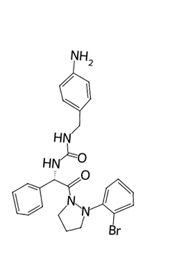 Nc1ccc(CNC(=O)N[C@H](C(=O)N2CCCN2c2ccccc2Br)c2ccccc2)cc1